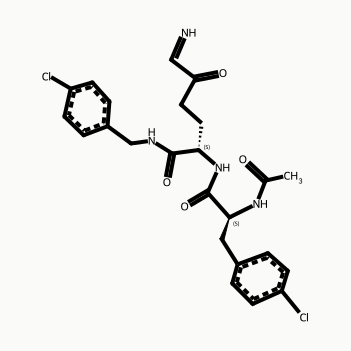 CC(=O)N[C@@H](Cc1ccc(Cl)cc1)C(=O)N[C@@H](CCC(=O)C=N)C(=O)NCc1ccc(Cl)cc1